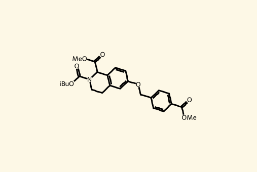 COC(=O)c1ccc(COc2ccc3c(c2)CCN(C(=O)OCC(C)C)C3C(=O)OC)cc1